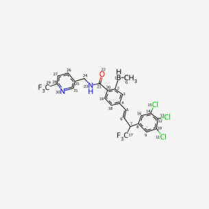 CBc1cc(/C=C/C(c2cc(Cl)c(Cl)c(Cl)c2)C(F)(F)F)ccc1C(=O)NCc1ccc(C(F)(F)F)nc1